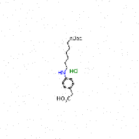 CCCCCCCCCCCCCCCCNc1ccc(CC(=O)O)cc1.Cl